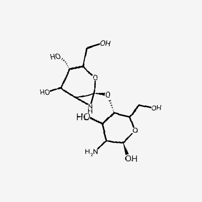 NC1C(O)[C@H](O[C@@]23NC2C(O)[C@H](O)C(CO)O3)C(CO)O[C@H]1O